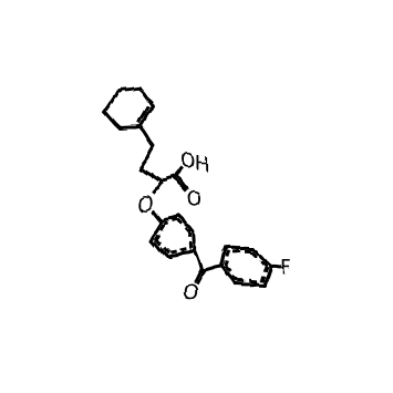 O=C(c1ccc(F)cc1)c1ccc(OC(CCC2=CCCCC2)C(=O)O)cc1